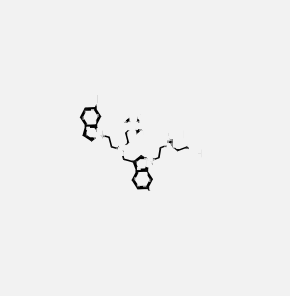 CN(CCO)CCn1cc(CN(CCn2ccc3ccc(F)cc32)CCS(C)(=O)=O)c2ccc(F)cc21